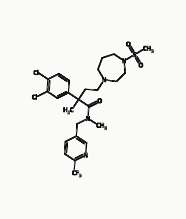 CN(Cc1ccc(C(F)(F)F)nc1)C(=O)C(C)(CCN1CCCN(S(C)(=O)=O)CC1)c1ccc(Cl)c(Cl)c1